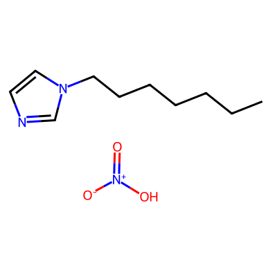 CCCCCCCn1ccnc1.O=[N+]([O-])O